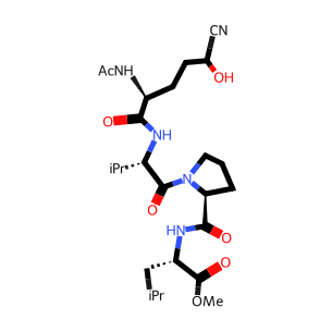 COC(=O)[C@H](CC(C)C)NC(=O)[C@@H]1CCCN1C(=O)[C@@H](NC(=O)[C@H](CCC(O)C#N)NC(C)=O)C(C)C